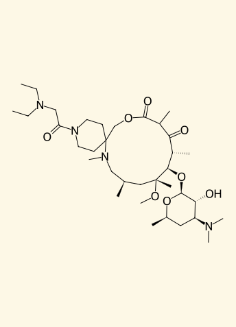 CCN(CC)CC(=O)N1CCC2(CC1)COC(=O)C(C)C(=O)[C@H](C)[C@@H](O[C@@H]1O[C@H](C)C[C@H](N(C)C)[C@H]1O)[C@](C)(OC)C[C@@H](C)CN2C